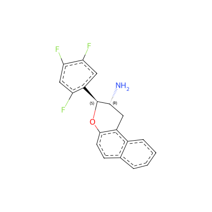 N[C@@H]1Cc2c(ccc3ccccc23)O[C@H]1c1cc(F)c(F)cc1F